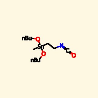 CCCC[O][Sn]([CH3])([CH2]CN=C=O)[O]CCCC